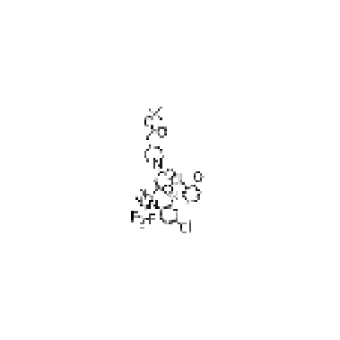 COc1cccc([C@H]2O[C@H](CC(=O)N3CCC(CC(=O)OC(C)(C)C)CC3)c3nnc(C(F)(F)F)n3-c3ccc(Cl)cc32)c1Cl